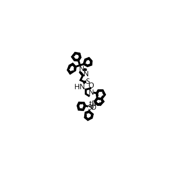 CC(C)(C)[Si](Oc1ccc2cccc(N3CC[C@H](NC(=S)Cc4cn(C(c5ccccc5)(c5ccccc5)c5ccccc5)cn4)C3=O)c2c1)(c1ccccc1)c1ccccc1